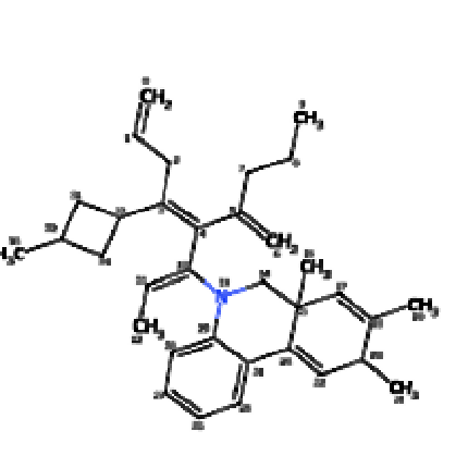 C=CC/C(=C(C(=C)CCC)/C(=C/C)N1CC2(C)C=C(C)C(C)C=C2c2ccccc21)C1CC(C)C1